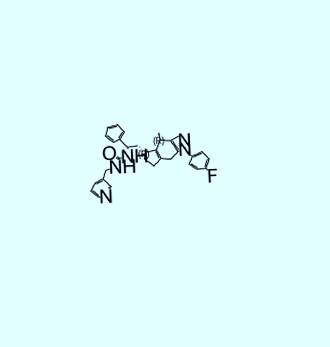 C[C@@H]1C2=C(CC[C@@H]2CC(NC(=O)NCc2cccnc2)c2ccccc2)Cc2c1cnn2-c1ccc(F)cc1